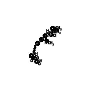 Cn1cc(-c2cc(Nc3ncc(Cl)c(Nc4ccccc4P(C)(C)=O)n3)ccc2N2CCN(C3CCN(CCCCCNc4cccc5c4C(=O)N(C4CCC(=O)NC4=O)C5=O)CC3)CC2)cn1